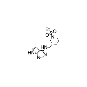 CCS(=O)(=O)N1CCCC(CNc2ncnc3[nH]ccc23)C1